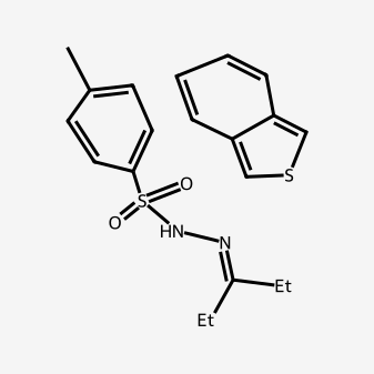 CCC(CC)=NNS(=O)(=O)c1ccc(C)cc1.c1ccc2cscc2c1